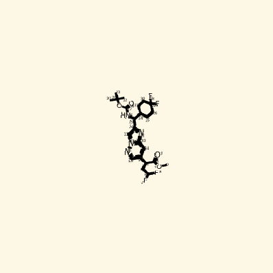 COC(=O)C(CC(F)F)c1cnn2cc(C(NC(=O)OC(C)(C)C)C3CCC(F)(F)CC3)nc2c1